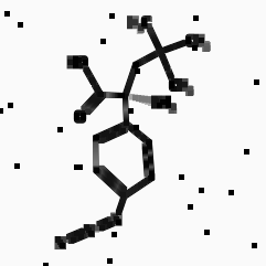 CC(C)(C)C[C@](N)(C(=O)O)c1ccc(N=[N+]=[N-])cc1